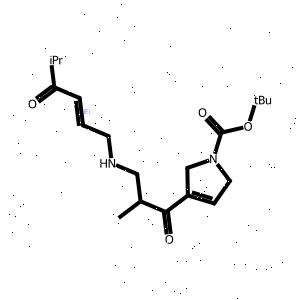 CC(C)C(=O)/C=C/CNCC(C)C(=O)C1=CCN(C(=O)OC(C)(C)C)C1